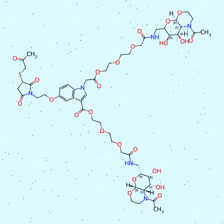 CC(=O)CSC1CC(=O)N(CCOc2ccc3c(c2)c(C(=O)OCCOCCOCC(=O)NC[C@H]2O[C@H]4OCCN(C(C)=O)[C@H]4[C@@H](O)[C@H]2O)cn3CC(=O)OCCOCCOCC(=O)NCC2O[C@H]3OCCN(C(C)=O)[C@H]3[C@@H](O)[C@H]2O)C1=O